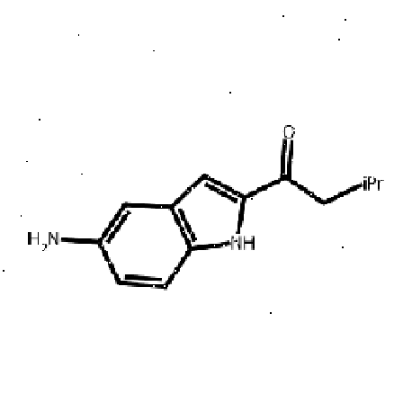 CC(C)CC(=O)c1cc2cc(N)ccc2[nH]1